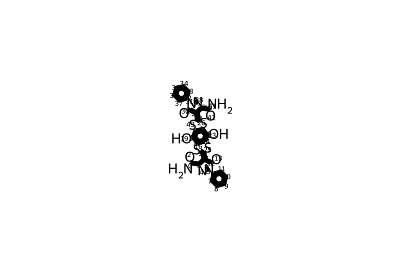 NC(=O)C1=NN(c2ccccc2)C(=O)C1=C1Sc2c(O)c3c(c(O)c2S1)SC(=C1C(=O)N(c2ccccc2)N=C1C(N)=O)S3